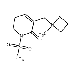 C[N+]1(CC2=CCCN(S(C)(=O)=O)C2=O)CCC1